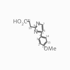 COc1ccc(-c2ccnc(CCC(=O)O)n2)cc1